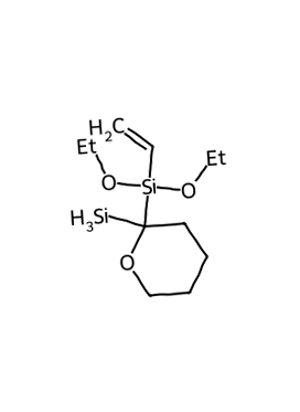 C=C[Si](OCC)(OCC)C1([SiH3])CCCCO1